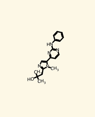 Cn1c(-c2ccnc(Nc3ccccc3)n2)cnc1CC(C)(C)O